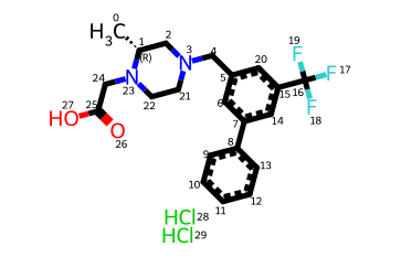 C[C@@H]1CN(Cc2cc(-c3ccccc3)cc(C(F)(F)F)c2)CCN1CC(=O)O.Cl.Cl